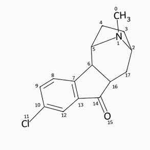 CN1C2CCC1C1c3ccc(Cl)cc3C(=O)C1C2